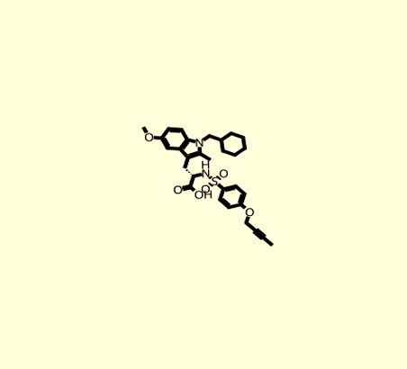 CC#CCOc1ccc(S(=O)(=O)N[C@@H](Cc2c(C)n(CC3CCCCC3)c3ccc(OC)cc23)C(=O)O)cc1